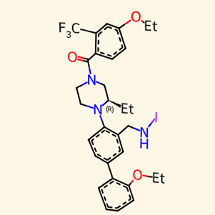 CCOc1ccc(C(=O)N2CCN(c3ccc(-c4ccccc4OCC)cc3CNI)[C@H](CC)C2)c(C(F)(F)F)c1